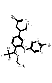 CCOC(c1ccc(C(CC)CC(=O)O)cc1Nc1cnc(C)nc1)C(F)(F)F